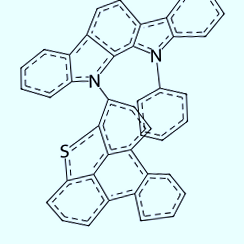 c1ccc(-n2c3ccccc3c3ccc4c5ccccc5n(-c5ccc6c7ccccc7c7cccc8sc5c6c87)c4c32)cc1